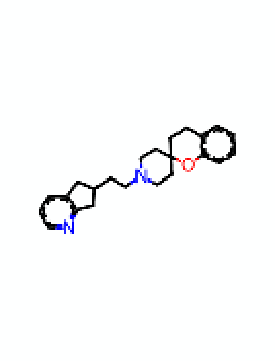 c1ccc2c(c1)CCC1(CCN(CCC3Cc4cccnc4C3)CC1)O2